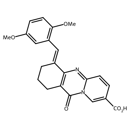 COc1ccc(OC)c(C=C2CCCc3c2nc2ccc(C(=O)O)cn2c3=O)c1